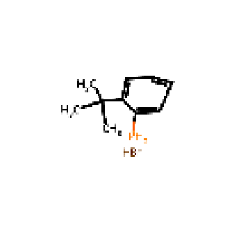 Br.CC(C)(C)c1ccccc1P